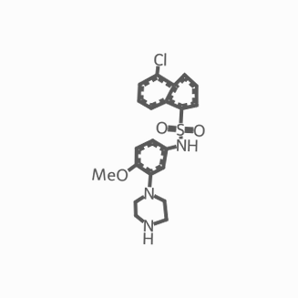 COc1ccc(NS(=O)(=O)c2cccc3c(Cl)cccc23)cc1N1CCNCC1